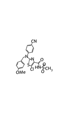 COc1ccc(CN(c2ccc(C#N)cc2)c2nc(C(=O)NS(C)(=O)=O)c(Cl)s2)cc1